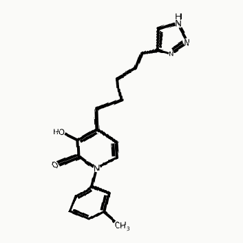 Cc1cccc(-n2ccc(CCCCCc3c[nH]nn3)c(O)c2=O)c1